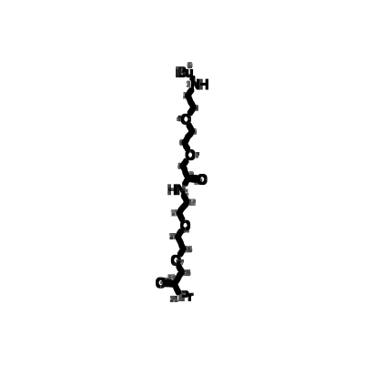 CCC(C)NCCOCCOCC(=O)NCCOCCOCC(=O)C(C)C